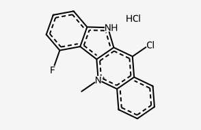 C[n+]1c2ccccc2c(Cl)c2[nH]c3cccc(F)c3c21.Cl